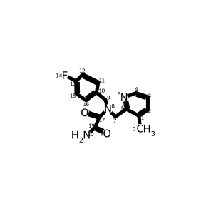 Cc1cccnc1CN(Cc1ccc(F)cc1)C(=O)C(N)=O